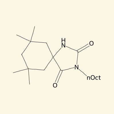 CCCCCCCCN1C(=O)NC2(CC(C)(C)CC(C)(C)C2)C1=O